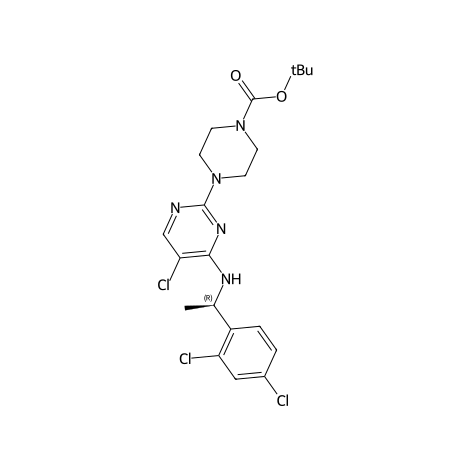 C[C@@H](Nc1nc(N2CCN(C(=O)OC(C)(C)C)CC2)ncc1Cl)c1ccc(Cl)cc1Cl